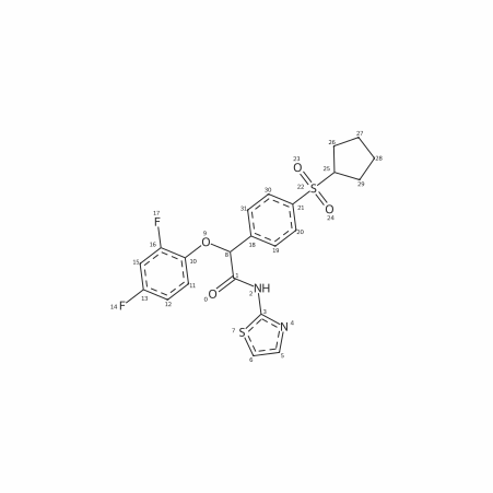 O=C(Nc1nccs1)C(Oc1ccc(F)cc1F)c1ccc(S(=O)(=O)C2CCCC2)cc1